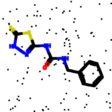 O=C(NCc1ccccc1)Nc1n[nH]c(=S)s1